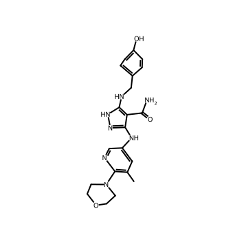 Cc1cc(Nc2n[nH]c(NCc3ccc(O)cc3)c2C(N)=O)cnc1N1CCOCC1